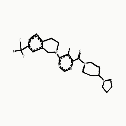 Cc1c(C(=O)N2CCC(N3CCCC3)CC2)ncnc1N1CCc2ccc(C(F)(F)F)cc2C1